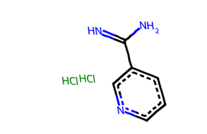 Cl.Cl.N=C(N)c1cccnc1